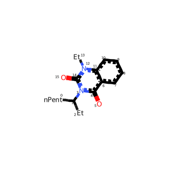 CCCCCC(CC)n1c(=O)c2ccccc2n(CC)c1=O